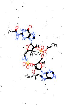 CO[C@H]1[C@H]2OP(=O)(OCCC#N)OC[C@H]3O[C@@H](n4cnc5cncnc54)C(O[Si](C)(C)C(C)(C)C)[C@@H]3OS(=O)(=O)NC[C@H]1O[C@H]2n1cnc2c(=O)[nH]c(NC(=O)C(C)C)nc21